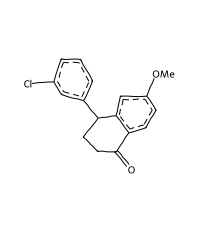 COc1ccc2c(c1)C(c1cccc(Cl)c1)CCC2=O